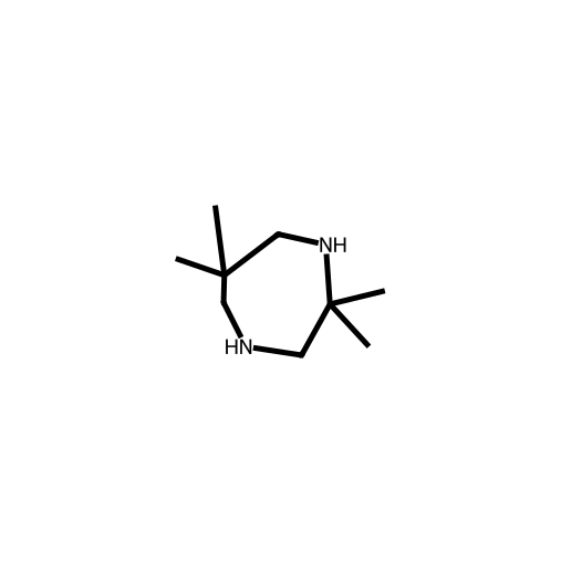 CC1(C)CNCC(C)(C)NC1